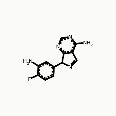 Nc1cc(C2N=Cc3c(N)ncnc32)ccc1F